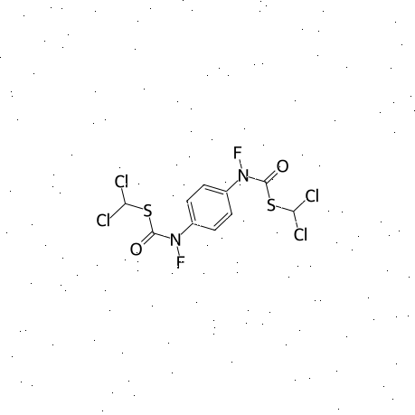 O=C(SC(Cl)Cl)N(F)c1ccc(N(F)C(=O)SC(Cl)Cl)cc1